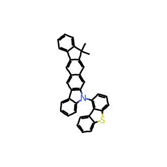 CC1(C)c2ccccc2-c2cc3cc4c5ccccc5n(-c5cccc6sc7ccccc7c56)c4cc3cc21